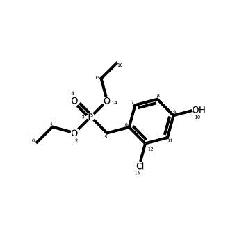 CCOP(=O)(Cc1ccc(O)cc1Cl)OCC